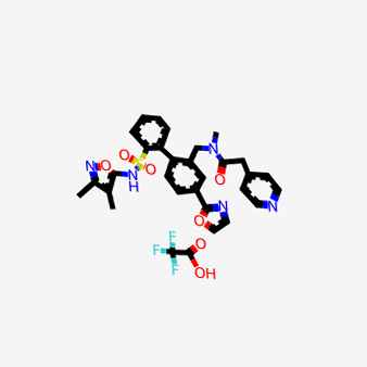 Cc1noc(NS(=O)(=O)c2ccccc2-c2ccc(-c3ncco3)cc2CN(C)C(=O)Cc2ccncc2)c1C.O=C(O)C(F)(F)F